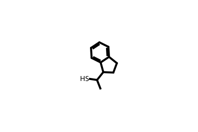 CC(S)C1CCc2ccccc21